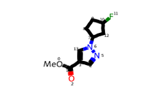 COC(=O)c1cnn(C2CCC(F)C2)c1